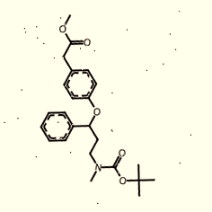 COC(=O)Cc1ccc(OC(CCN(C)C(=O)OC(C)(C)C)c2ccccc2)cc1